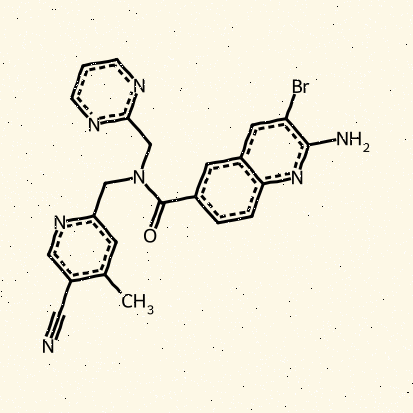 Cc1cc(CN(Cc2ncccn2)C(=O)c2ccc3nc(N)c(Br)cc3c2)ncc1C#N